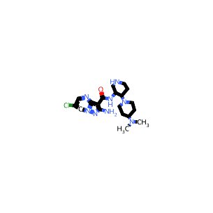 CN(C)C1CCN(C2CCNCC2NC(=O)c2c(N)nn3cc(Cl)cnc23)CC1